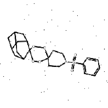 O=S(=O)(c1ccccc1)N1CCC2(CC1)OOC1(OO2)C2CC3CC(C2)CC1C3